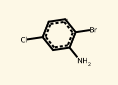 Nc1cc(Cl)c[c]c1Br